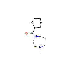 CN1CCCN(C(=O)C2CC[CH]CC2)CC1